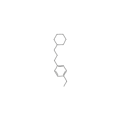 CCc1ccc(CCCC2CCCCC2)cc1